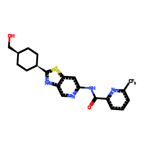 O=C(Nc1cc2sc([C@H]3CC[C@H](CO)CC3)nc2cn1)c1cccc(C(F)(F)F)n1